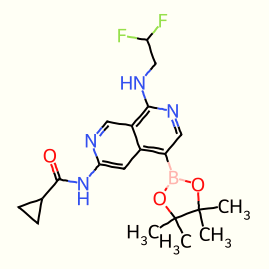 CC1(C)OB(c2cnc(NCC(F)F)c3cnc(NC(=O)C4CC4)cc23)OC1(C)C